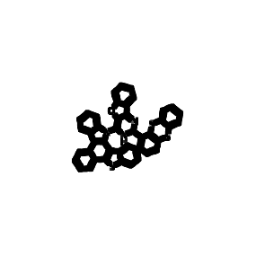 c1ccc2c(c1)Sc1cccc(C3N=c4c(oc5ccccc45)=C(n4c5ccccc5c5c6ccccc6c6sc7ccccc7c6c54)N3)c1S2